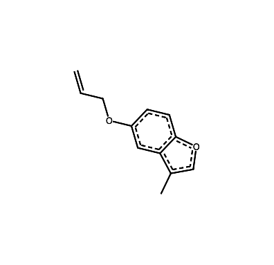 C=CCOc1ccc2occ(C)c2c1